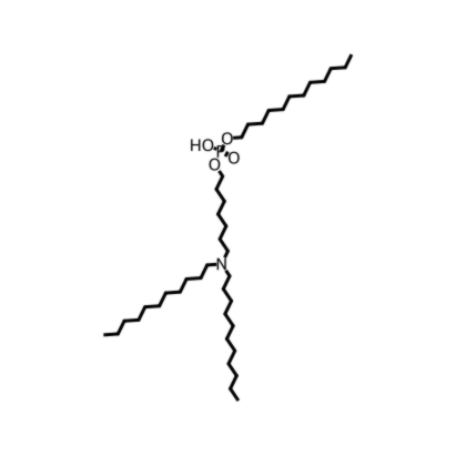 CCCCCCCCCCCCOP(=O)(O)OCCCCCCCN(CCCCCCCCCCC)CCCCCCCCCCC